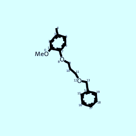 COc1cc(C)ccc1OCCCOCc1ccccc1